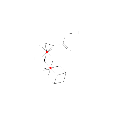 COC(=O)[C@H]1C[C@@H]1CN1CC2CC(C1)N2C(=O)OC(C)(C)C